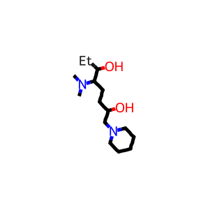 CCC(O)C(CCC(O)CN1CCCCC1)N(C)C